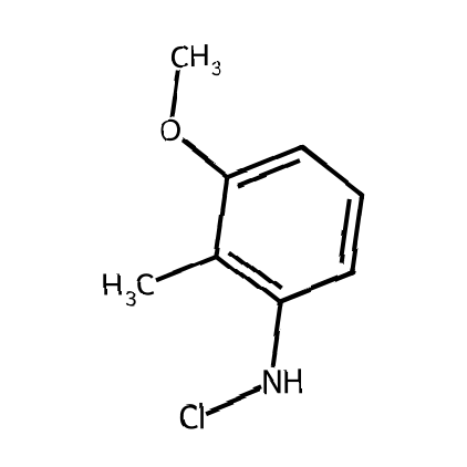 COc1cccc(NCl)c1C